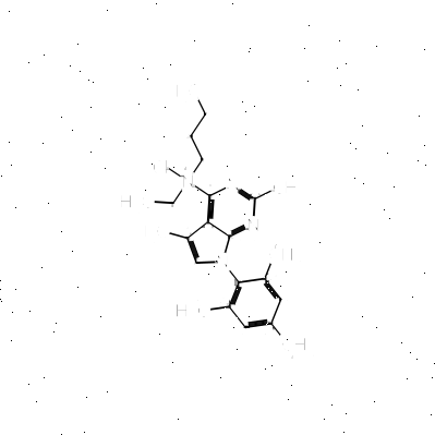 CCCC[N+](Cl)(CC)c1nc(C)nc2c1c(C)cn2-c1c(C)cc(C)cc1C